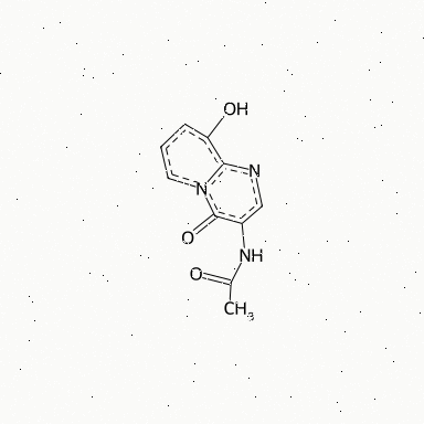 CC(=O)Nc1cnc2c(O)cccn2c1=O